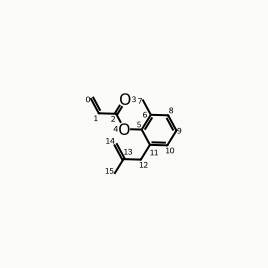 C=CC(=O)Oc1c(C)cccc1CC(=C)C